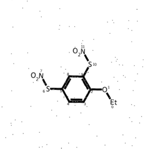 CCOc1ccc(S[N+](=O)[O-])cc1S[N+](=O)[O-]